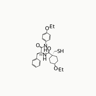 CCOc1ccc(NC(=O)[C@H](Cc2ccccc2)NC(=O)[C@]2(CS)CC[C@H](OCC)CC2)cc1